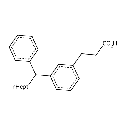 CCCCCCCC(c1ccccc1)c1cccc(CCC(=O)O)c1